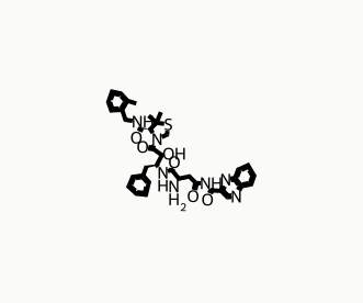 Cc1ccccc1CNC(=O)[C@H]1N(C(=O)[C@@H](O)[C@H](Cc2ccccc2)NC(=O)[C@@H](N)CC(=O)NC(=O)c2cnc3ccccc3n2)CSC1(C)C